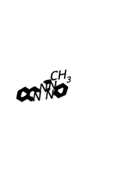 Cc1cn(-c2cc3ccccc3cn2)c2nc3ccccc3n12